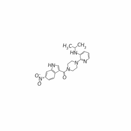 CC(C)Nc1cccnc1N1CCN(C(=O)c2c[nH]c3cc([N+](=O)[O-])ccc23)CC1